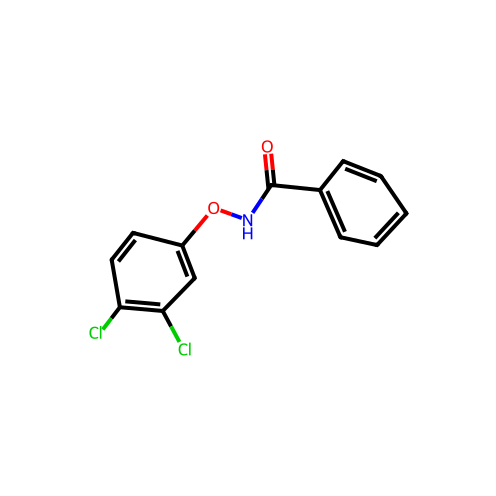 O=C(NOc1ccc(Cl)c(Cl)c1)c1ccccc1